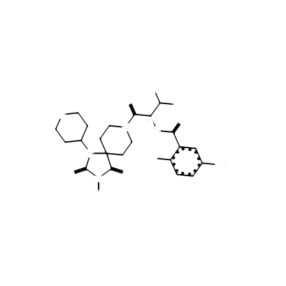 Cc1ccc(F)c(C(=O)N[C@@H](C(=O)N2CCC3(CC2)C(=O)N(C)C(=O)N3C2CCOCC2)C(C)C)c1